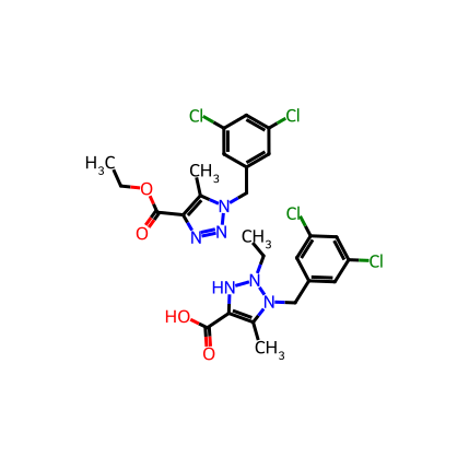 CCN1NC(C(=O)O)=C(C)N1Cc1cc(Cl)cc(Cl)c1.CCOC(=O)c1nnn(Cc2cc(Cl)cc(Cl)c2)c1C